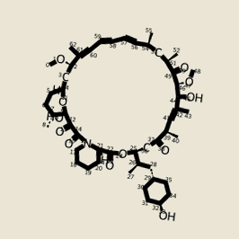 CO[C@H]1C[C@@H]2CC[C@@H](C)[C@@](O)(O2)C(=O)C(=O)N2CCCC[C@H]2C(=O)O[C@H]([C@H](C)C[C@H]2CC[C@H](O)CC2)CC(=O)[C@H](C)/C=C(\C)C(O)[C@@H](OC)C(=O)[C@H](C)C[C@H](C)/C=C/C=C/C=C/1C